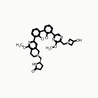 COc1nc(-c2cccc(-c3cccc(-c4cc5c(c(OC)n4)CCN(C[C@H]4CCC(=O)N4)C5)c3Cl)c2Cl)cnc1CN1CC(O)C1